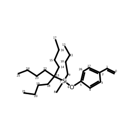 C=Cc1ccc(O[Si](C)(CCCC)C(CCCC)(CCCC)CCCC)cc1